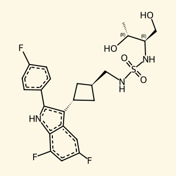 C[C@@H](O)[C@@H](CO)NS(=O)(=O)NC[C@H]1C[C@H](c2c(-c3ccc(F)cc3)[nH]c3c(F)cc(F)cc32)C1